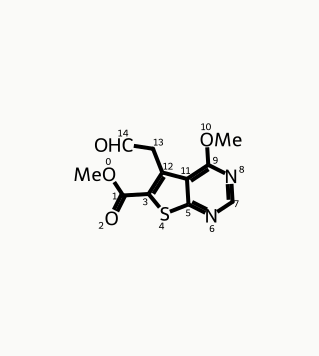 COC(=O)c1sc2ncnc(OC)c2c1CC=O